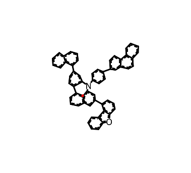 c1ccc(-c2ccc(-c3cccc4ccccc34)cc2N(c2ccc(-c3ccc4c(ccc5ccccc54)c3)cc2)c2cccc(-c3cccc4oc5ccccc5c34)c2)cc1